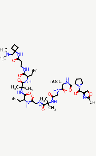 CCCCCCCC[C@H](NC(=O)[C@@H]1CCCN1C(=O)c1coc(C)n1)C(=O)NCC(=O)NC(C)(C)C(=O)NCC(=O)NC(CC(C)C)C(=O)NC(C)(C)C(=O)NC(CC(C)C)C(=O)NCCC(=O)NC1(CN(C)C)CCC1